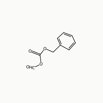 O=COC(=O)OCc1ccccc1